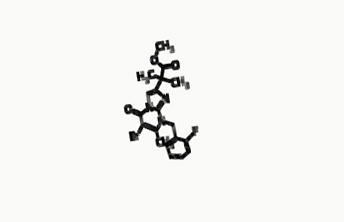 COC(=O)C(C)(C)c1cn2c(=O)c(Br)c(C)n(Cc3ccccc3F)c2n1